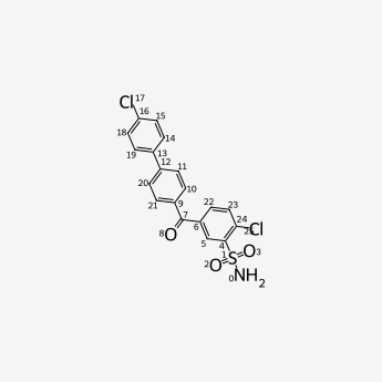 NS(=O)(=O)c1cc(C(=O)c2ccc(-c3ccc(Cl)cc3)cc2)ccc1Cl